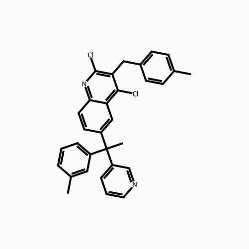 Cc1ccc(Cc2c(Cl)nc3ccc(C(C)(c4cccnc4)c4cccc(C)c4)cc3c2Cl)cc1